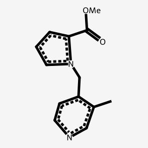 COC(=O)c1cccn1Cc1ccncc1C